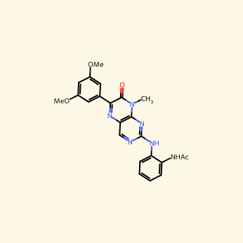 COc1cc(OC)cc(-c2nc3cnc(Nc4ccccc4NC(C)=O)nc3n(C)c2=O)c1